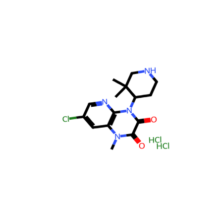 Cl.Cl.Cn1c(=O)c(=O)n(C2CCNCC2(C)C)c2ncc(Cl)cc21